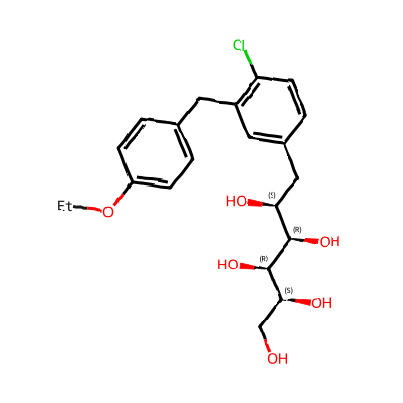 CCOc1ccc(Cc2cc(C[C@H](O)[C@@H](O)[C@H](O)[C@@H](O)CO)ccc2Cl)cc1